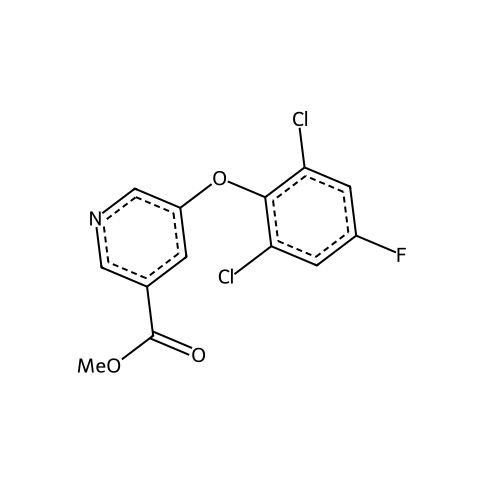 COC(=O)c1cncc(Oc2c(Cl)cc(F)cc2Cl)c1